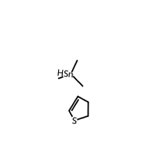 C1=CSCC1.[CH3][SnH]([CH3])[CH3]